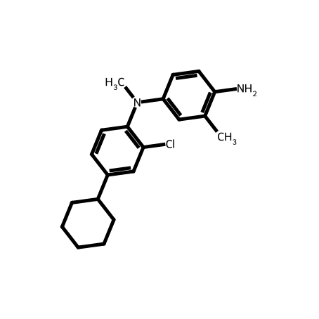 Cc1cc(N(C)c2ccc(C3CCCCC3)cc2Cl)ccc1N